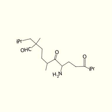 CC(C)CC(C)(C=O)CCC(C)C(=O)C(N)CCC(=O)C(C)C